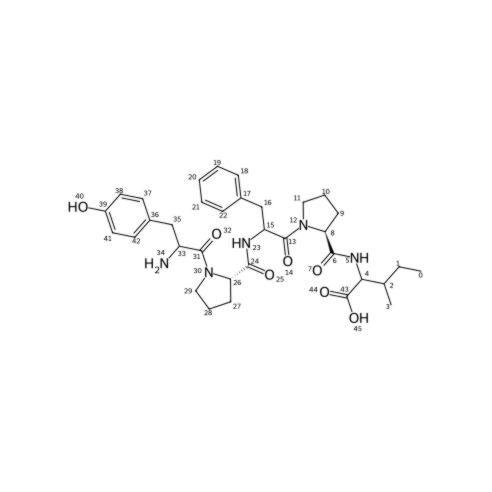 CCC(C)C(NC(=O)[C@@H]1CCCN1C(=O)C(Cc1ccccc1)NC(=O)[C@@H]1CCCN1C(=O)C(N)Cc1ccc(O)cc1)C(=O)O